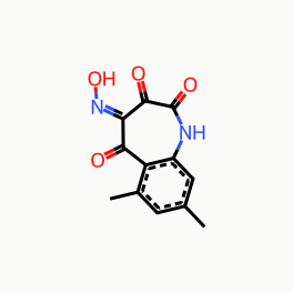 Cc1cc(C)c2c(c1)NC(=O)C(=O)C(=NO)C2=O